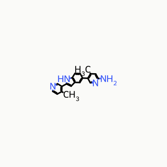 Cc1cc(N)ncc1-c1ccc2[nH]c(-c3cnccc3C)cc2c1